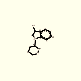 CCC1CN(C2CCCOO2)c2ccccc21